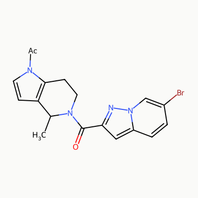 CC(=O)n1ccc2c1CCN(C(=O)c1cc3ccc(Br)cn3n1)C2C